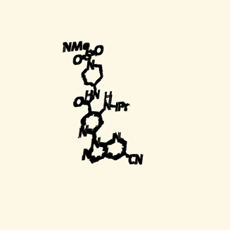 CNS(=O)(=O)N1CCC(NC(=O)c2cnc(-n3ncc4cc(C#N)cnc43)cc2NC(C)C)CC1